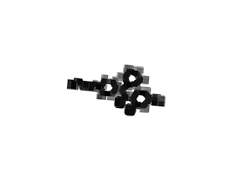 CCCCCC1CCC(C(C(=O)C2CCC(CC)CC2=O)C2CCCCC2)CC1